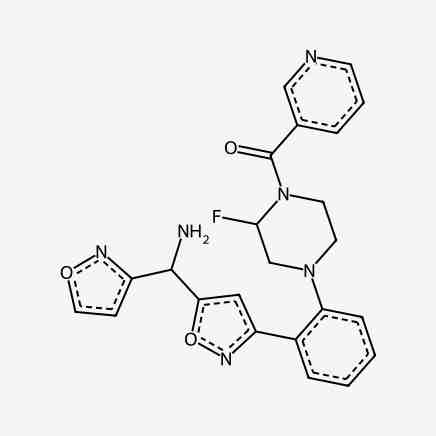 NC(c1ccon1)c1cc(-c2ccccc2N2CCN(C(=O)c3cccnc3)C(F)C2)no1